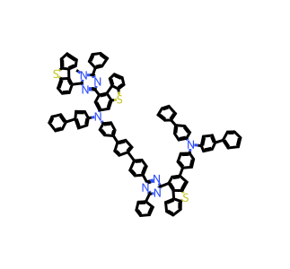 CN1C(c2ccccc2)=NC(c2cc(N(c3ccc(-c4ccccc4)cc3)c3ccc(-c4ccc(-c5ccc(-c6nc(-c7ccccc7)nc(-c7cc(-c8ccc(N(c9ccc(-c%10ccccc%10)cc9)c9ccc(-c%10ccccc%10)cc9)cc8)cc8sc9ccccc9c78)n6)cc5)cc4)cc3)cc3sc4ccccc4c23)=NC1c1cccc2sc3ccccc3c12